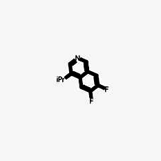 CC(C)c1cncc2cc(F)c(F)cc12